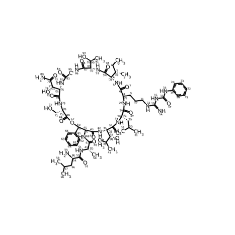 CC[C@H](C)[C@@H]1NC(=O)[C@@H](CCCNC(=N)NC(=O)Nc2ccccc2)NC(=O)[C@H](CC(C)C)NC(=O)[C@H]([C@H](O)C(C)C)NC(=O)[C@@H](NC(=O)[C@H](C)NC(=O)[C@H](N)CC(C)C)[C@@H](c2ccccc2)OC(=O)[C@H](CO)NC(=O)[C@H]([C@H](O)C(N)=O)NC(=O)CNC(=O)[C@H]([C@H](C)O)NC1=O